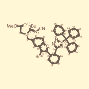 CCCCC(=NC#N)N(CC(=O)OC)Cc1ccc2oc(-c3ccccc3-c3nnn(C(c4ccccc4)(c4ccccc4)c4ccccc4)n3)c(Br)c2c1